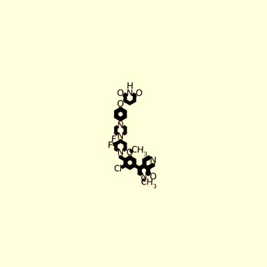 COc1cc(-c2cn(C)c(=O)c3cnccc23)cc(Cl)c1CN1CCC(N2CCN(c3ccc(OC4CCC(=O)NC4=O)cc3)CC2)C(F)(F)C1